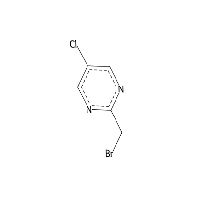 Clc1cnc(CBr)nc1